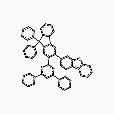 c1ccc(-c2cc(-c3cc4c(cc3-c3ccc5c(c3)sc3ccccc35)-c3ccccc3C4(c3ccccc3)c3ccccc3)nc(-c3ccccc3)n2)cc1